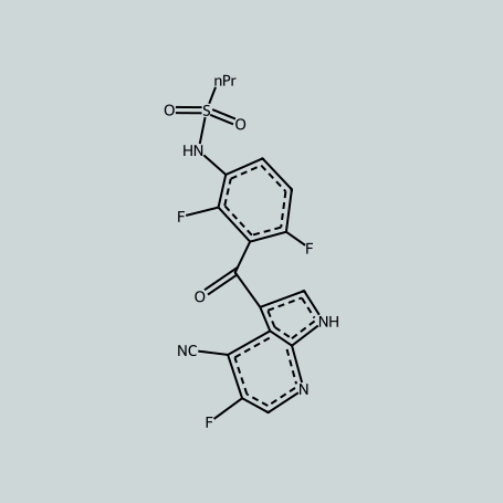 CCCS(=O)(=O)Nc1ccc(F)c(C(=O)c2c[nH]c3ncc(F)c(C#N)c23)c1F